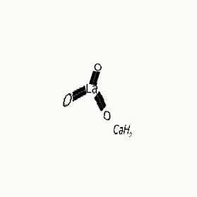 [CaH2].[O]=[La](=[O])=[O]